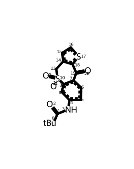 CC(C)(C)C(=O)Nc1ccc2c(c1)S(=O)(=O)Cc1ccsc1C2=O